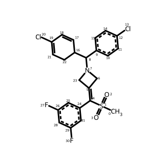 CS(=O)(=O)C(=C1CN(C(c2ccc(Cl)cc2)C2C=CC(Cl)=CC2)C1)c1cc(F)cc(F)c1